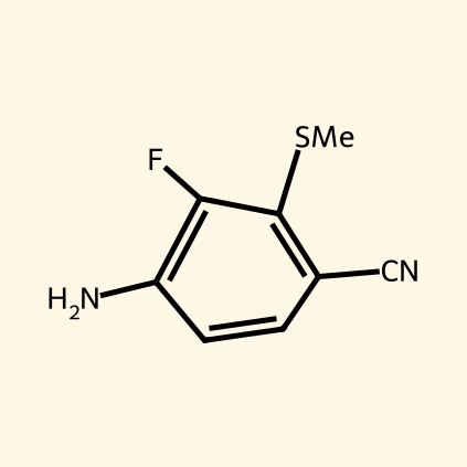 CSc1c(C#N)ccc(N)c1F